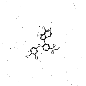 CCS(=O)(=O)c1ccc(Oc2ccc(Cl)c(Cl)c2)c(-c2c[nH]c3c(=O)n(C)ccc23)c1